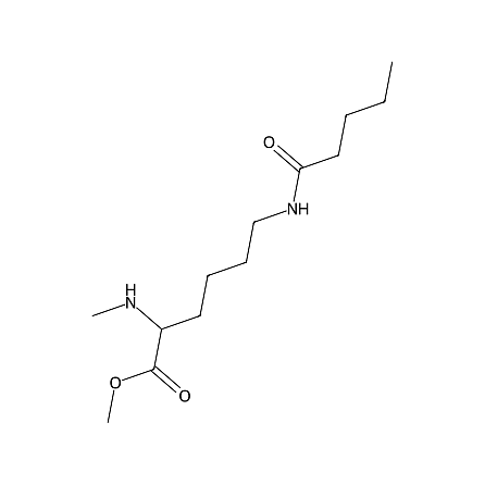 CCCCC(=O)NCCCCC(NC)C(=O)OC